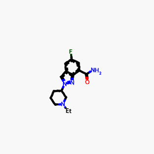 CCN1CCCC(n2cc3cc(F)cc(C(N)=O)c3n2)C1